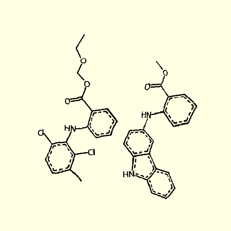 CCOCOC(=O)c1ccccc1Nc1c(Cl)ccc(C)c1Cl.COC(=O)c1ccccc1Nc1ccc2[nH]c3ccccc3c2c1